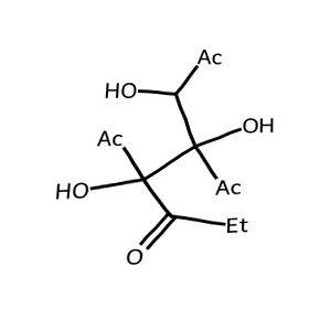 CCC(=O)C(O)(C(C)=O)C(O)(C(C)=O)C(O)C(C)=O